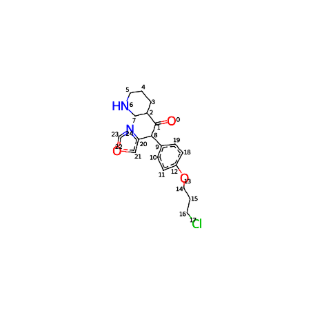 O=C(C1CCCNC1)C(c1ccc(OCCCCl)cc1)c1cocn1